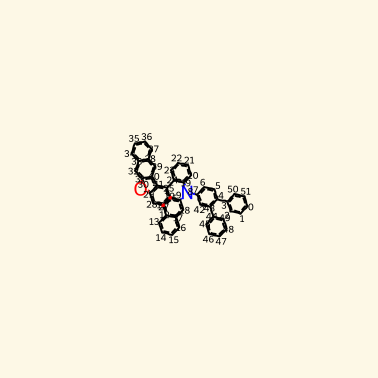 c1ccc(-c2ccc(N(c3ccc4ccccc4c3)c3ccccc3-c3cccc4oc5cc6ccccc6cc5c34)cc2-c2ccccc2)cc1